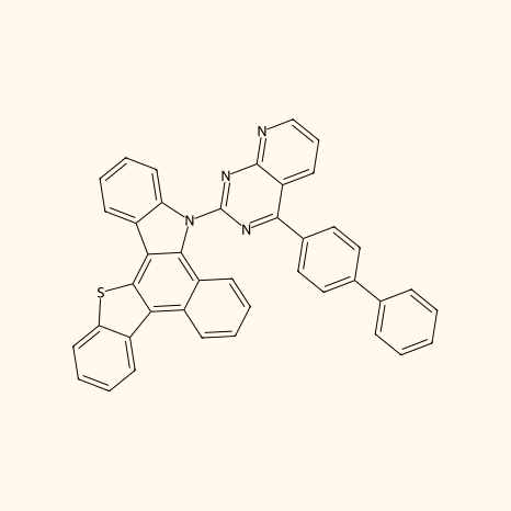 c1ccc(-c2ccc(-c3nc(-n4c5ccccc5c5c6sc7ccccc7c6c6ccccc6c54)nc4ncccc34)cc2)cc1